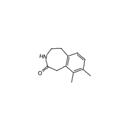 Cc1ccc2c(c1C)CC(=O)NCC2